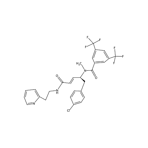 CN(C(=O)c1cc(C(F)(F)F)cc(C(F)(F)F)c1)[C@H](C=CC(=O)NCCc1ccccn1)Cc1ccc(Cl)cc1